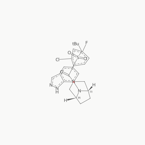 CC(C)(C)CS(=O)(=O)c1cc(N2[C@@H]3CC[C@H]2CN(C(=O)c2ccc(F)cc2Cl)C3)c2[nH]ncc2c1